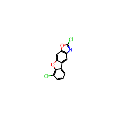 Clc1nc2cc3c(cc2o1)oc1c(Cl)cccc13